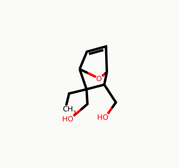 CCC1(CO)C2C=CC(O2)C1CO